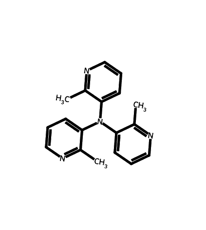 Cc1ncccc1N(c1cccnc1C)c1cccnc1C